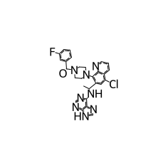 CC(Nc1ncnc2[nH]cnc12)c1cc(Cl)c2cccnc2c1N1CCN(C(=O)c2cccc(F)c2)CC1